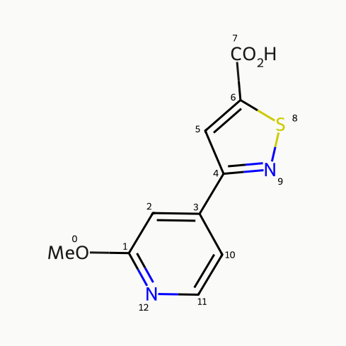 COc1cc(-c2cc(C(=O)O)sn2)ccn1